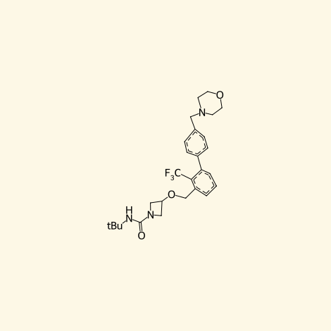 CC(C)(C)NC(=O)N1CC(OCc2cccc(-c3ccc(CN4CCOCC4)cc3)c2C(F)(F)F)C1